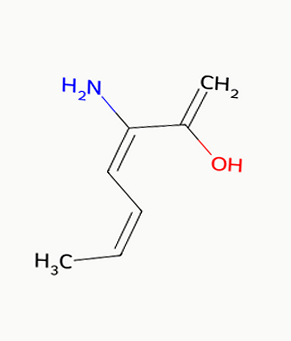 C=C(O)/C(N)=C\C=C/C